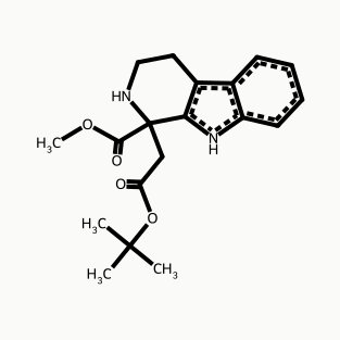 COC(=O)C1(CC(=O)OC(C)(C)C)NCCc2c1[nH]c1ccccc21